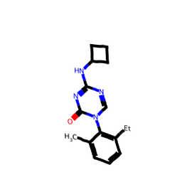 CCc1cccc(C)c1-n1cnc(NC2CCC2)nc1=O